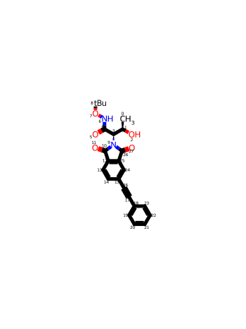 C[C@@H](O)[C@@H](C(=O)NOC(C)(C)C)N1C(=O)c2ccc(C#Cc3ccccc3)cc2C1=O